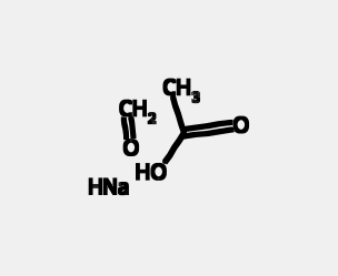 C=O.CC(=O)O.[NaH]